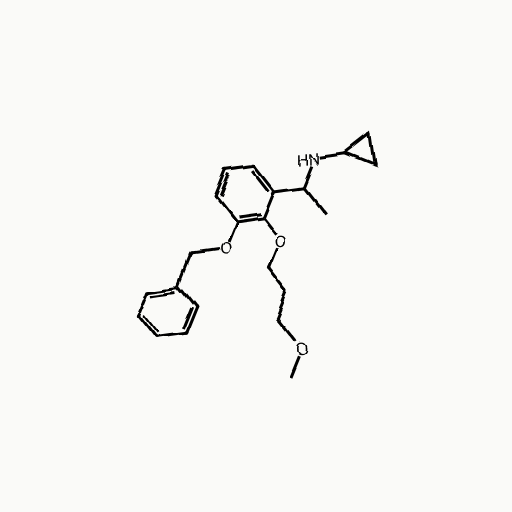 COCCCOc1c(OCc2ccccc2)cccc1C(C)NC1CC1